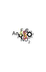 CC(=O)c1cc([N+](=O)[O-])c(S(=O)(=O)c2ccccc2C(F)(F)F)s1